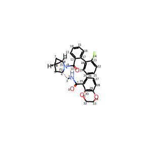 O=C(NC[C@@H]1C[C@@H]2C[C@@H]2N1C(=O)c1ccccc1-c1ccccc1F)c1cccc2c1OCCO2